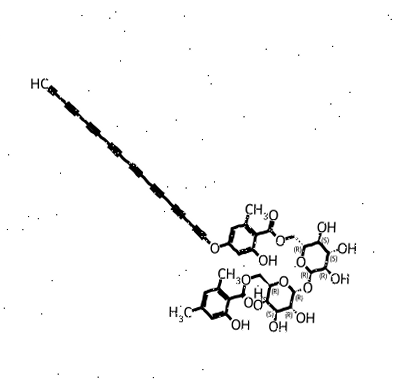 C#CC#CC#CC#CC#CC#CC#CC#COc1cc(C)c(C(=O)OC[C@H]2O[C@H](O[C@H]3O[C@H](COC(=O)c4c(C)cc(C)cc4O)[C@@H](O)[C@H](O)[C@H]3O)[C@H](O)[C@@H](O)[C@@H]2O)c(O)c1